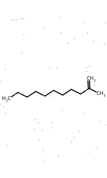 [CH2]CCCCCCCCC(=C)C